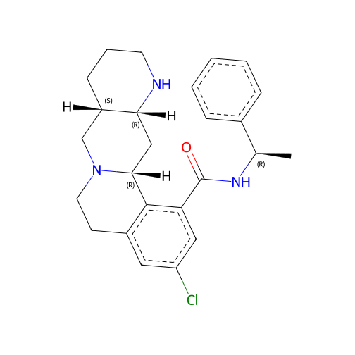 C[C@@H](NC(=O)c1cc(Cl)cc2c1[C@H]1C[C@H]3NCCC[C@H]3CN1CC2)c1ccccc1